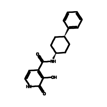 O=C(N[C@H]1CC[C@@H](c2ccccc2)CC1)c1cc[nH]c(=O)c1O